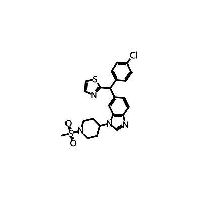 CS(=O)(=O)N1CCC(n2cnc3ccc(C(c4ccc(Cl)cc4)c4nccs4)cc32)CC1